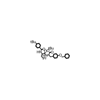 CC(C)CC(NC(=O)c1ccc(C(C)(C)C)cc1)C(=O)NC(Cc1ccc(OCc2ccccc2)cc1)C(=O)OC(C)(C)C